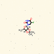 C[C@H]1O[C@@H](n2cc(F)c(=O)[nH]c2=O)[C@@H]2OC(C)(C)O[C@@H]21